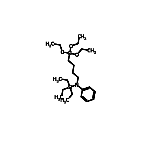 CCO[Si](CCCCN(c1ccccc1)[Si](CC)(CC)CC)(OCC)OCC